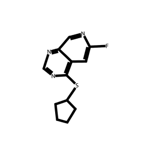 Fc1cc2c(SC3CCCC3)ncnc2cn1